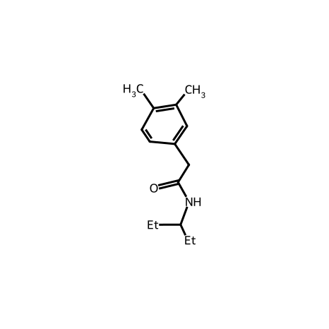 CCC(CC)NC(=O)Cc1ccc(C)c(C)c1